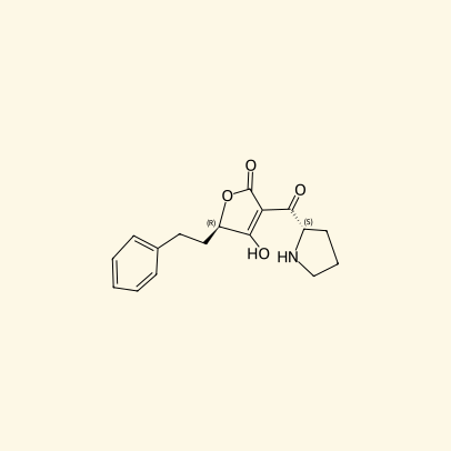 O=C1O[C@H](CCc2ccccc2)C(O)=C1C(=O)[C@@H]1CCCN1